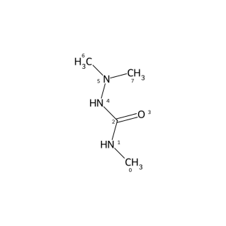 CNC(=O)NN(C)C